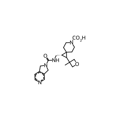 CC1(C2[C@H](CNC(=O)N3Cc4ccncc4C3)C23CCN(C(=O)O)CC3)COC1